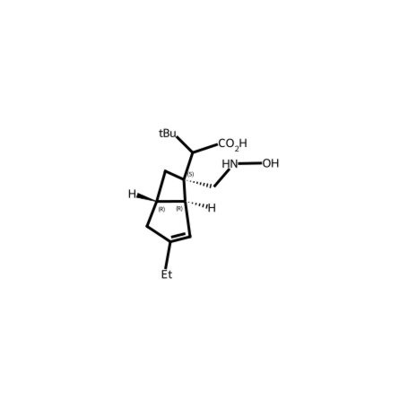 CCC1=C[C@H]2[C@H](C1)C[C@@]2(CNO)C(C(=O)O)C(C)(C)C